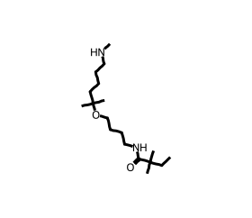 CCC(C)(C)C(=O)NCCCCOC(C)(C)CCCCNC